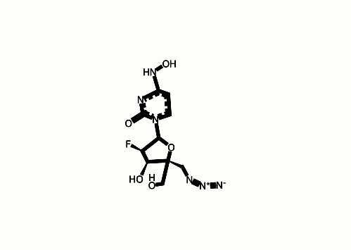 [N-]=[N+]=NC[C@]1(CO)OC(n2ccc(NO)nc2=O)[C@H](F)[C@@H]1O